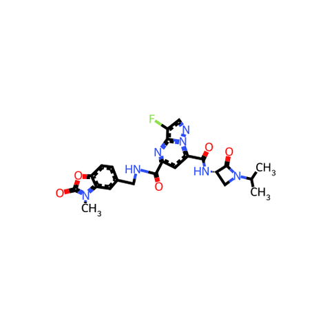 CC(C)N1C[C@H](NC(=O)c2cc(C(=O)NCc3ccc4oc(=O)n(C)c4c3)nc3c(F)cnn23)C1=O